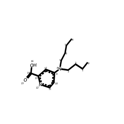 CCCCN(CCCC)c1ccnc(C(=O)O)c1